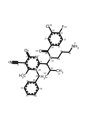 Cc1c(C#N)c(=O)nc(C(C(C)C)N(CCCN)C(=O)c2ccc(F)c(Cl)c2)n1Cc1ccccc1